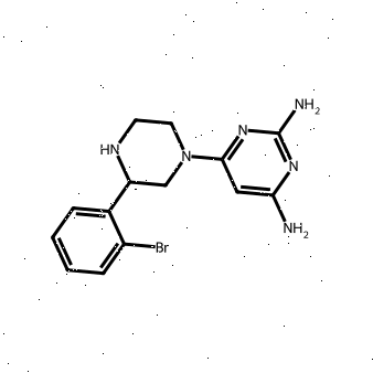 Nc1cc(N2CCNC(c3ccccc3Br)C2)nc(N)n1